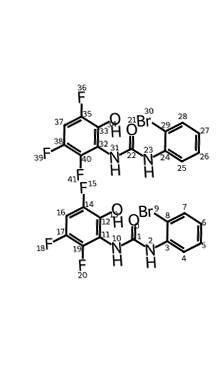 O=C(Nc1ccccc1Br)Nc1c(O)c(F)cc(F)c1F.O=C(Nc1ccccc1Br)Nc1c(O)c(F)cc(F)c1F